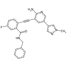 Cn1cc(-c2cnc(N)c(C#Cc3ccc(F)cc3C(=O)NCc3ccccc3)c2)cn1